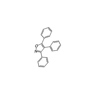 c1ccc(-c2noc(-c3ccccc3)c2-c2ccccc2)cc1